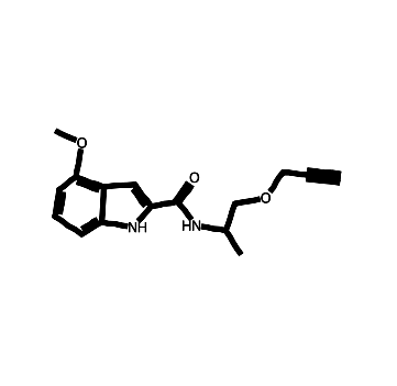 C#CCOCC(C)NC(=O)c1cc2c(OC)cccc2[nH]1